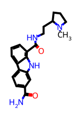 CN1CCCC1CCNC(=O)c1cccc2c1[nH]c1cc(C(N)=O)ccc12